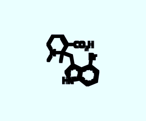 CN1CCC=C(C(=O)O)C1(C)Cc1c[nH]c2cccc(Br)c12